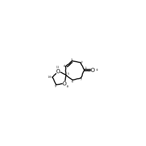 O=C1CC=CC2(CC1)OCCO2